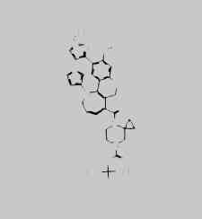 COc1cc2c(cc1-c1ccn(C)n1)C1=C(CO2)C(C(=O)N2CCN(C(=O)OC(C)(C)C)CC23CC3)=C=CCN1c1ccsc1